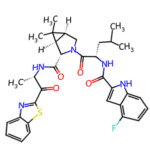 CC(C)C[C@H](NC(=O)c1cc2c(F)cccc2[nH]1)C(=O)N1C[C@H]2[C@@H]([C@H]1C(=O)N[C@@H](C)C(=O)c1nc3ccccc3s1)C2(C)C